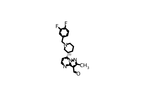 Cc1nn2c([C@H]3CCCN(Cc4ccc(F)c(F)c4)C3)ccnc2c1C=O